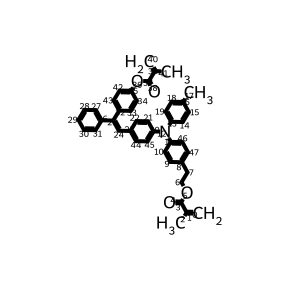 C=C(C)C(=O)OCCc1ccc(N(c2ccc(C)cc2)c2ccc(C=C(c3ccccc3)c3ccc(OC(=O)C(=C)C)cc3)cc2)cc1